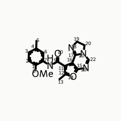 COc1ccc(C)cc1NC(=O)c1c(C)oc2c1C1=NCCN1C=N2